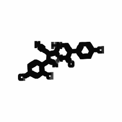 N#Cc1c(-c2ccc(Cl)cc2Cl)nn2c(=O)c(-c3ccc(Cl)cc3)c[nH]c12